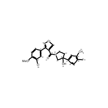 COc1ccc(-c2nocc2C(=O)N2CCC(O)(c3ccc(F)c(C)c3)C2)cc1Cl